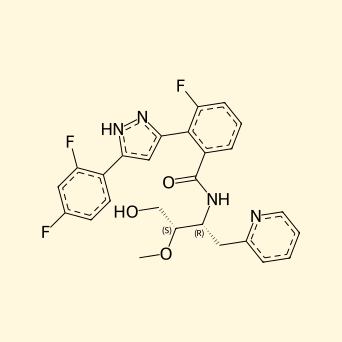 CO[C@H](CO)[C@@H](Cc1ccccn1)NC(=O)c1cccc(F)c1-c1cc(-c2ccc(F)cc2F)[nH]n1